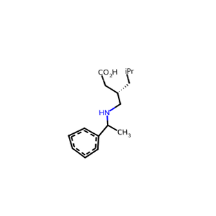 CC(C)C[C@H](CNC(C)c1ccccc1)CC(=O)O